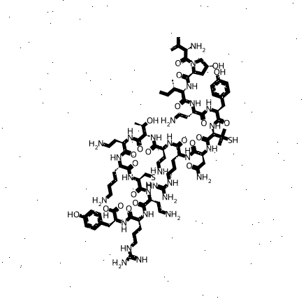 CC[C@H](C)[C@H](NC(=O)[C@@H]1C[C@@H](O)CN1C(=O)[C@@H](N)C(C)C)C(=O)N[C@@H](CCN)C(=O)N[C@@H](Cc1ccc(O)cc1)C(=O)N[C@H](C(=O)N[C@@H](CC(N)=O)C(=O)N[C@@H](CCCNC(=N)N)C(=O)N[C@@H](CCN)C(=O)N[C@H](C(=O)N[C@H](CCN)C(=O)N[C@@H](CCCCN)C(=O)N[C@@H](CS)C(=O)N[C@@H](CCN)C(=O)N[C@@H](CCCNC(=N)N)C(=O)N[C@@H](Cc1ccc(O)cc1)C(=O)O)[C@@H](C)O)C(C)(C)S